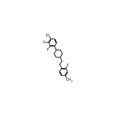 CCc1ccc(C2CCC(CCc3ccc(C)cc3F)CC2)c(F)c1F